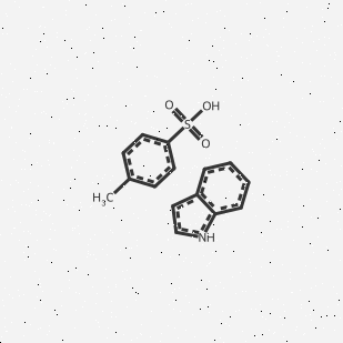 Cc1ccc(S(=O)(=O)O)cc1.c1ccc2[nH]ccc2c1